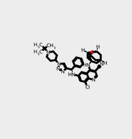 CC(C)(C)N1CCC(n2cc([C@@H](Nc3cc(Cl)c4ncc(C#N)c(N[C@@]56CC[C@@H]7C[C@H](C[C@H](C7)C5)C6)c4c3)c3ccccc3)nn2)CC1